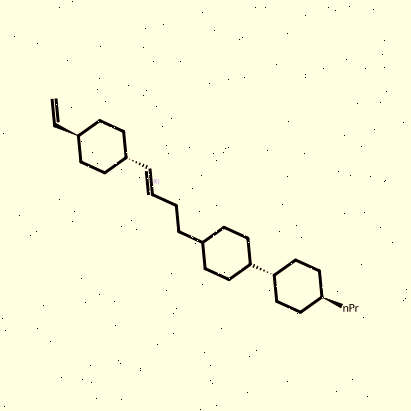 C=C[C@H]1CC[C@H](/C=C/CCC2CCC([C@H]3CC[C@H](CCC)CC3)CC2)CC1